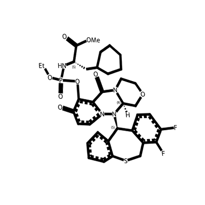 CCOP(=O)(N[C@@H](CC1CCCCC1)C(=O)OC)Oc1c2n(ccc1=O)N([C@@H]1c3ccccc3SCc3c1ccc(F)c3F)[C@@H]1COCCN1C2=O